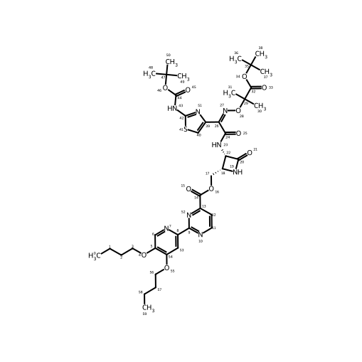 CCCCOc1cnc(-c2nccc(C(=O)OC[C@H]3NC(=O)[C@H]3NC(=O)/C(=N\OC(C)(C)C(=O)OC(C)(C)C)c3csc(NC(=O)OC(C)(C)C)n3)n2)cc1OCCCC